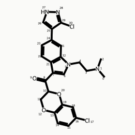 CN(C)CCn1cc(C(=O)C2COc3ccc(Cl)cc3O2)c2ccc(-c3c[nH]nc3Cl)cc21